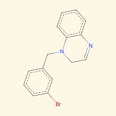 Brc1cccc(CN2CC=Nc3ccccc32)c1